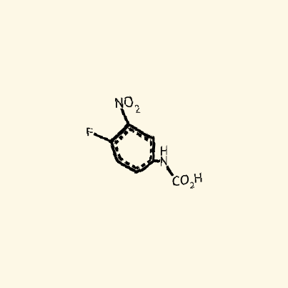 O=C(O)Nc1ccc(F)c([N+](=O)[O-])c1